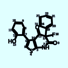 O=C1Nc2scc(-c3ccccc3O)c2C(=O)C1(F)c1ccccc1